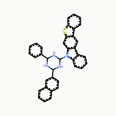 c1ccc(C2NC(c3ccc4ccccc4c3)NC(n3c4ccccc4c4cc5c(cc43)sc3ccccc35)N2)cc1